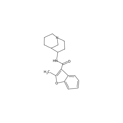 Cc1oc2ccccc2c1C(=O)NC1CCN2CCCC1C2